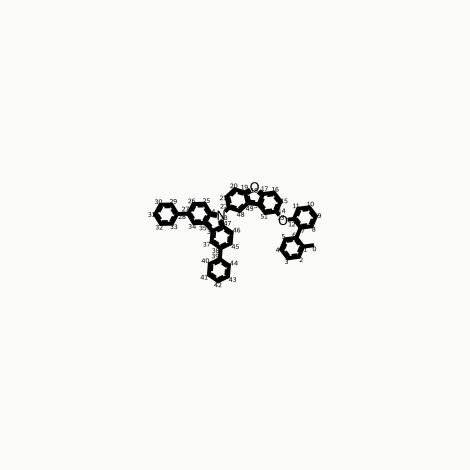 Cc1ccccc1-c1ccccc1Oc1ccc2oc3ccc(-n4c5ccc(-c6ccccc6)cc5c5cc(-c6ccccc6)ccc54)cc3c2c1